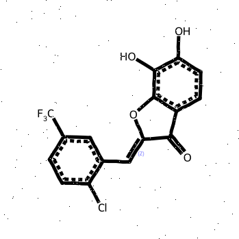 O=C1/C(=C/c2cc(C(F)(F)F)ccc2Cl)Oc2c1ccc(O)c2O